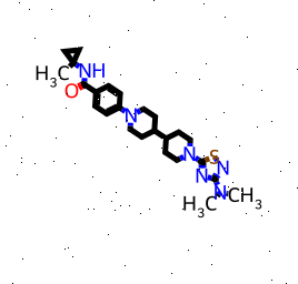 CN(C)c1nsc(N2CCC(C3CCN(c4ccc(C(=O)NC5(C)CC5)cc4)CC3)CC2)n1